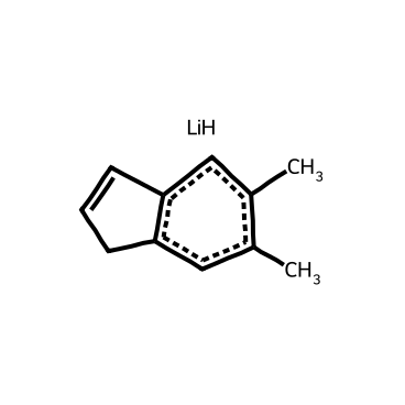 Cc1cc2c(cc1C)CC=C2.[LiH]